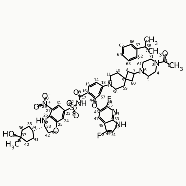 CC(=O)N1CCN(C2CC3(CCN(c4ccc(C(=O)NS(=O)(=O)c5cc6c(c([N+](=O)[O-])c5)N[C@@H](C5CCC(C)(O)CC5)CO6)c(Oc5cc6c(F)c[nH]c6nc5F)c4)CC3)C2)[C@H](c2ccccc2C(C)C)C1